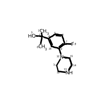 CC(C)(O)c1ccc(F)c(N2CCNCC2)c1